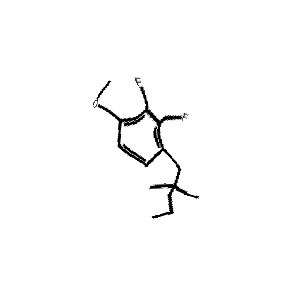 CCC(C)(C)Cc1ccc(OC)c(F)c1F